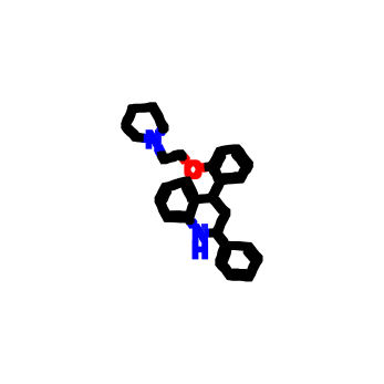 c1ccc(C2CC(c3ccccc3OCCN3CCCCC3)c3ccccc3N2)cc1